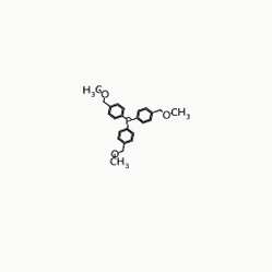 COCc1ccc(P(c2ccc(COC)cc2)c2ccc(COC)cc2)cc1